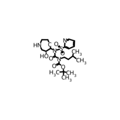 CC(C)CCN(C(=O)OC(C)(C)C)C(=O)N(C1CCCNC[C@@H]1O)S(=O)(=O)c1ccccn1